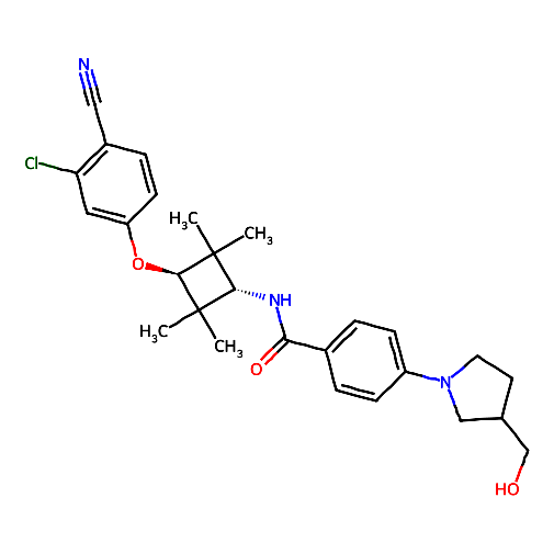 CC1(C)[C@H](NC(=O)c2ccc(N3CCC(CO)C3)cc2)C(C)(C)[C@H]1Oc1ccc(C#N)c(Cl)c1